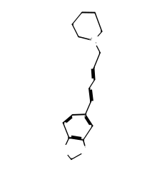 C(/C=C/c1ccc2c(c1)OCO2)=C\CN1CCCCC1